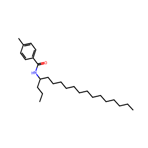 CCCCCCCCCCCCCCC(CCC)NC(=O)c1ccc(C)cc1